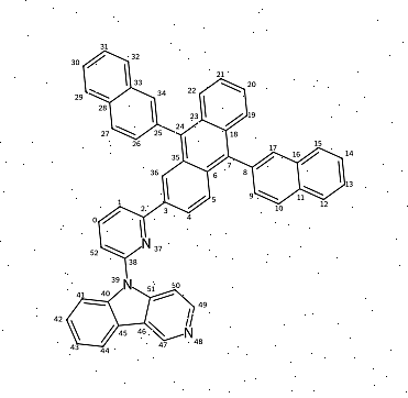 c1cc(-c2ccc3c(-c4ccc5ccccc5c4)c4ccccc4c(-c4ccc5ccccc5c4)c3c2)nc(-n2c3ccccc3c3cnccc32)c1